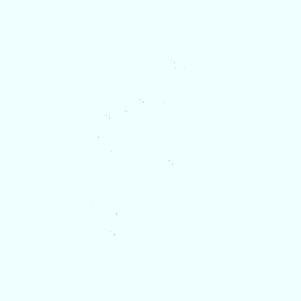 CCNS(=O)(=O)c1cc(N)ccc1-c1cnc(N2CC(N)C2)s1